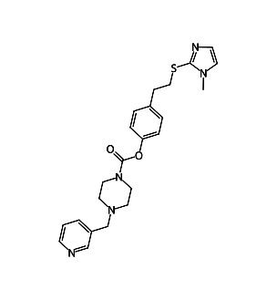 Cn1ccnc1SCCc1ccc(OC(=O)N2CCN(Cc3cccnc3)CC2)cc1